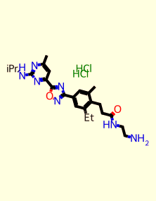 CCc1cc(-c2noc(-c3cc(C)nc(NC(C)C)n3)n2)cc(C)c1CCC(=O)NCCN.Cl.Cl